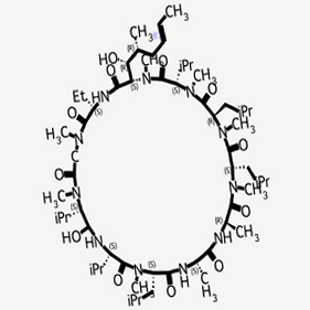 C/C=C/C[C@@H](C)[C@@H](O)[C@H]1C(=O)N[C@@H](CC)C(=O)N(C)CC(=O)N(C)[C@@H](C(C)C)C(O)N[C@@H](C(C)C)C(=O)N(C)[C@@H](CC(C)C)C(=O)N[C@@H](C)C(=O)N[C@H](C)C(=O)N(C)[C@@H](CC(C)C)C(=O)N(C)[C@H](CC(C)C)C(=O)N(C)[C@@H](C(C)C)C(=O)N1C